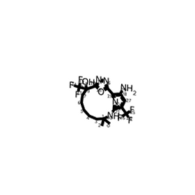 CC1(C)CCCCCC(O)(C(F)(F)F)c2nnc(o2)-c2nc(c(C(F)(F)F)cc2N)N1